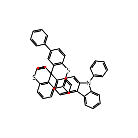 c1ccc(-c2ccc3c(c2)C2(c4ccccc4S3)c3ccccc3Sc3cccc(-c4ccc5c(c4)c4ccccc4n5-c4ccccc4)c32)cc1